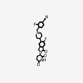 N#Cc1ccc(CN2CCC(c3cc4c(cc3F)C(=O)N(C3CCC(=O)NC3=O)C4)CC2)c(F)c1